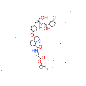 CCOC(=O)CCNC(=O)c1cccc2c(Oc3ccc(C[C@@H](CO)NC[C@@H](O)c4cccc(Cl)c4)cc3)ccnc12